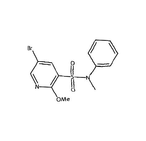 COc1ncc(Br)cc1S(=O)(=O)N(C)c1ccccc1